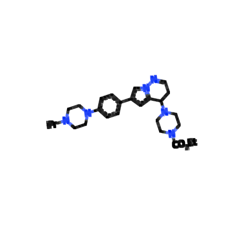 CCOC(=O)N1CCN(C2CC=Nn3cc(-c4ccc(N5CCN(C(C)C)CC5)cc4)cc32)CC1